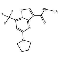 CNC(=O)c1csc2c(C(F)(F)F)cc(N3C[CH]CC3)nc12